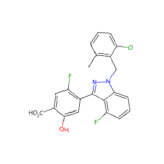 Cc1cccc(Cl)c1Cn1nc(-c2cc(O)c(C(=O)O)cc2F)c2c(F)cccc21